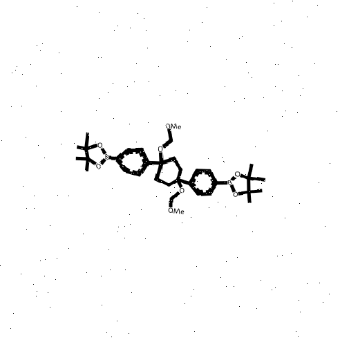 COCOC1(c2ccc(B3OC(C)(C)C(C)(C)O3)cc2)CCC(OCOC)(c2ccc(B3OC(C)(C)C(C)(C)O3)cc2)CC1